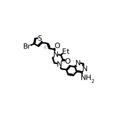 CCC1C(=O)N(Cc2ccc3c(N)ncnc3c2)CCN1C(=O)/C=C/c1cc(Br)cs1